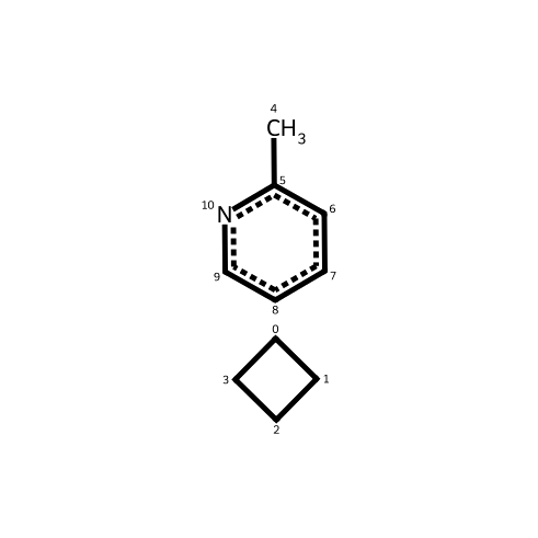 C1CCC1.Cc1ccccn1